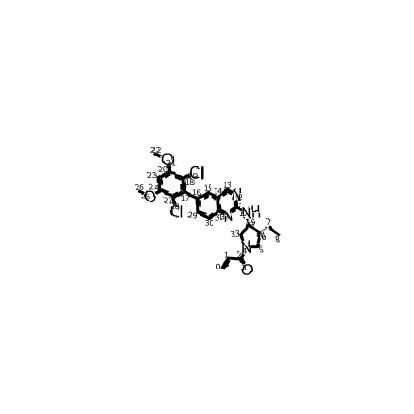 C=CC(=O)N1C[C@@H](CC)[C@H](Nc2ncc3cc(-c4c(Cl)c(OC)cc(OC)c4Cl)ccc3n2)C1